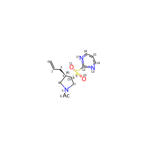 C=CC[C@@H]1CN(C(C)=O)C[C@H]1S(=O)(=O)c1ncccn1